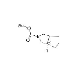 CC(C)(C)OC(=O)N1CC2CCC[C@H]2C1